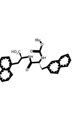 CC(C)(C)OC(=O)N[C@H](Cc1ccc2ccccc2c1)C(=O)N[C@@H](Cc1cccc2ccccc12)C(=O)O